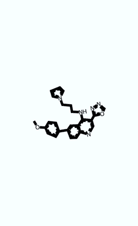 COc1ccc(-c2ccc3ncc(-c4nnco4)c(NCCCn4cccc4)c3c2)cc1